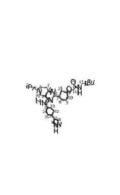 CC(C)N1CCc2nc(-c3cccc(OCC(=O)NCC(C)(C)C)c3)nc(Nc3ccc(-c4cn[nH]c4)cc3)c2C1